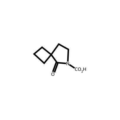 O=C(O)N1CCC2(CCC2)C1=O